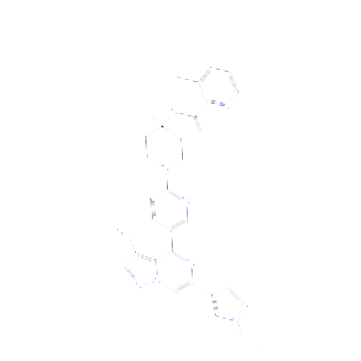 CCC1(NC(=O)c2ncccc2Cl)CCN(c2ccc(-c3nc(-c4cnn(C)c4)cn4ncc(C#N)c34)cn2)CC1